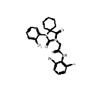 CC(C)c1cccc(C(C)C)c1NC(=O)CN1C(=O)N(c2ccccc2C(F)(F)F)C2(CCCCC2)C1=O